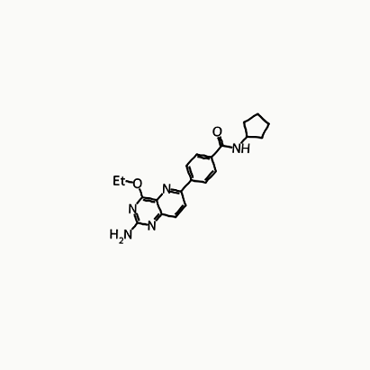 CCOc1nc(N)nc2ccc(-c3ccc(C(=O)NC4CCCC4)cc3)nc12